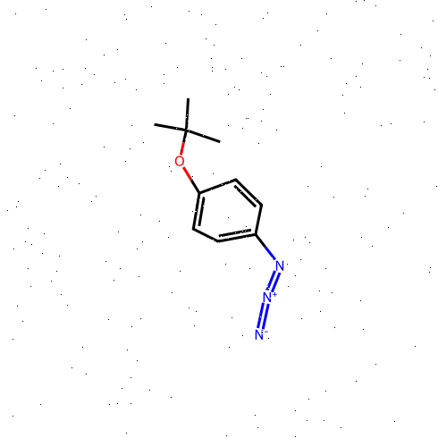 CC(C)(C)Oc1ccc(N=[N+]=[N-])cc1